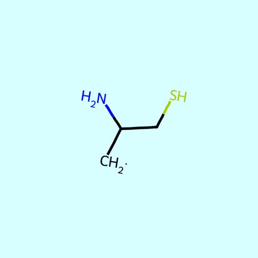 [CH2]C(N)CS